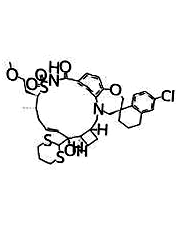 COCC[C@@H]1[C@@H](C)C/C=C/[C@@](O)(C2SCCCS2)[C@@H]2CC[C@H]2CN2C[C@@]3(CCCc4cc(Cl)ccc43)COc3ccc(cc32)C(=O)NS1(=O)=O